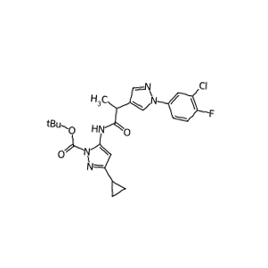 CC(C(=O)Nc1cc(C2CC2)nn1C(=O)OC(C)(C)C)c1cnn(-c2ccc(F)c(Cl)c2)c1